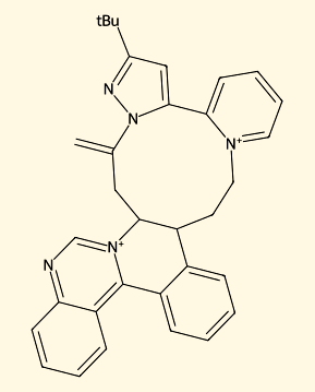 C=C1CC2C(CC[n+]3ccccc3-c3cc(C(C)(C)C)nn31)c1ccccc1-c1c3ccccc3nc[n+]12